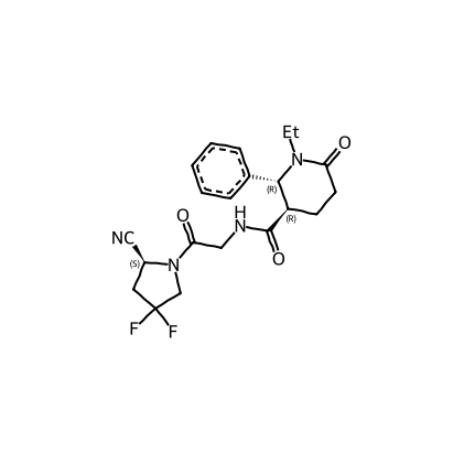 CCN1C(=O)CC[C@@H](C(=O)NCC(=O)N2CC(F)(F)C[C@H]2C#N)[C@@H]1c1ccccc1